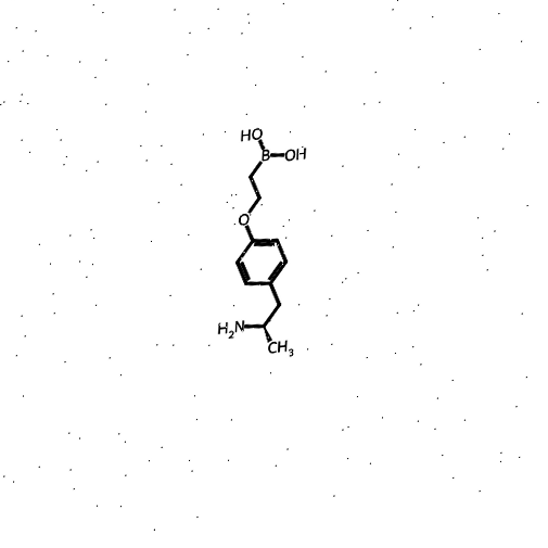 C[C@@H](N)Cc1ccc(OCCB(O)O)cc1